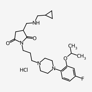 CC(C)Oc1cc(F)ccc1N1CCN(CCCN2C(=O)CC(CNCC3CC3)C2=O)CC1.Cl